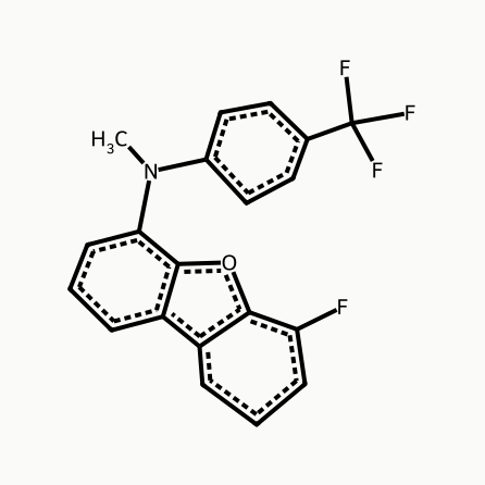 CN(c1ccc(C(F)(F)F)cc1)c1cccc2c1oc1c(F)cccc12